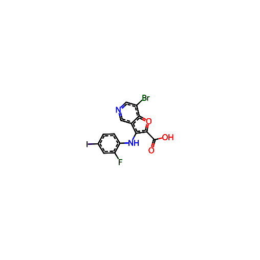 O=C(O)c1oc2c(Br)cncc2c1Nc1ccc(I)cc1F